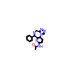 CC(=O)Nc1ccc2c(n1)C(c1ccccc1)=NCc1nncn1-2